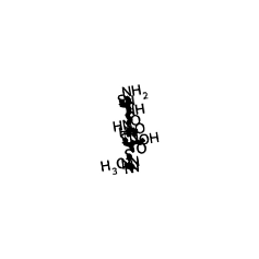 Cn1nnnc1SCC1=C(C(=O)O)N2C(=O)[C@@H](NC(=O)CNc3csc(N)n3)[C@@H]2SC1